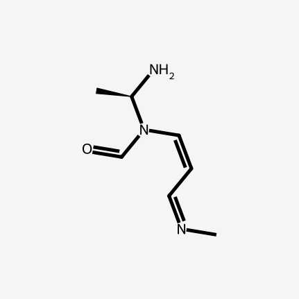 C/N=C\C=C/N(C=O)[C@@H](C)N